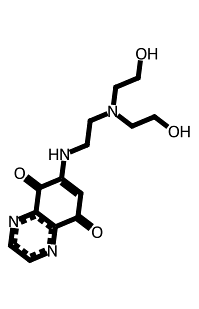 O=C1C=C(NCCN(CCO)CCO)C(=O)c2nccnc21